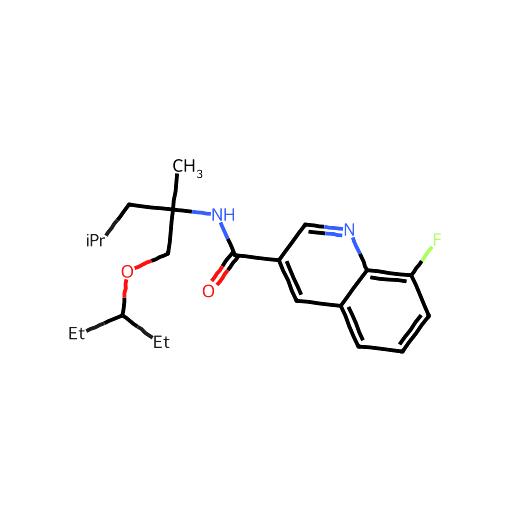 CCC(CC)OCC(C)(CC(C)C)NC(=O)c1cnc2c(F)cccc2c1